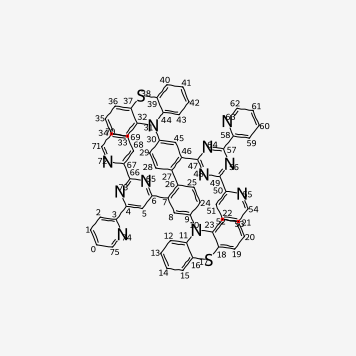 c1ccc(-c2cc(-c3cc(N4c5ccccc5Sc5ccccc54)ccc3-c3ccc(N4c5ccccc5Sc5ccccc54)cc3-c3nc(-c4ccccn4)nc(-c4ccccn4)n3)nc(-c3ccccn3)n2)nc1